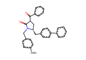 COc1ccc(CN2C(=O)C(C(=O)c3ccccc3)C[C@H]2Cc2ccc(-c3ccccc3)cc2)cc1